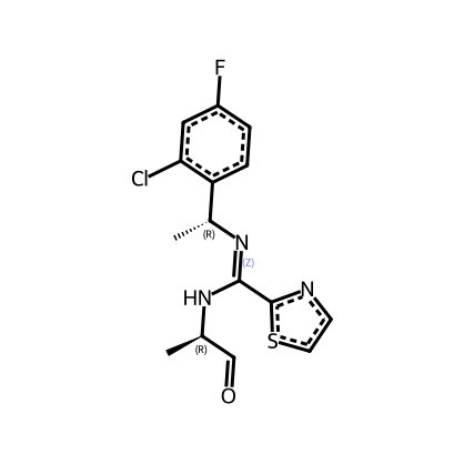 C[C@H](C=O)N/C(=N\[C@H](C)c1ccc(F)cc1Cl)c1nccs1